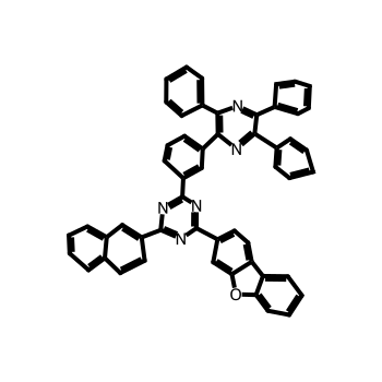 c1ccc(-c2nc(-c3ccccc3)c(-c3cccc(-c4nc(-c5ccc6ccccc6c5)nc(-c5ccc6c(c5)oc5ccccc56)n4)c3)nc2-c2ccccc2)cc1